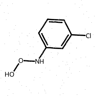 OONc1cccc(Cl)c1